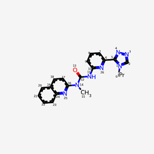 CC(C)n1cnnc1-c1cccc(NC(=O)N(C)c2ccc3ccccc3n2)n1